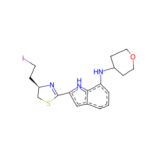 ICC[C@@H]1CSC(c2cc3cccc(NC4CCOCC4)c3[nH]2)=N1